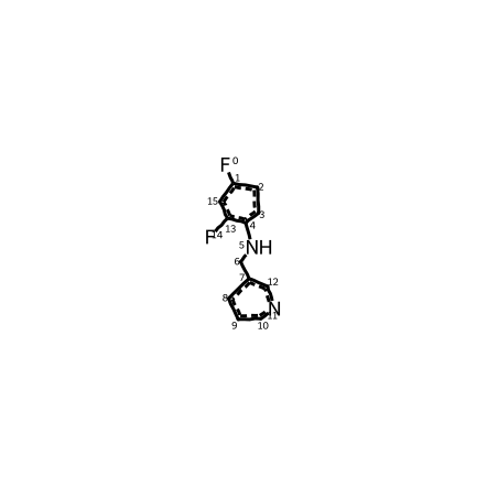 Fc1ccc(NCc2cccnc2)c(F)c1